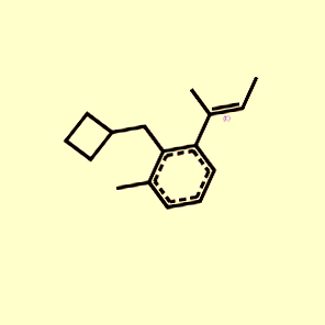 C/C=C(\C)c1cccc(C)c1CC1CCC1